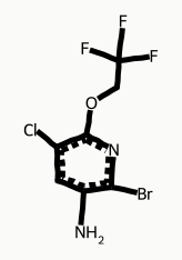 Nc1cc(Cl)c(OCC(F)(F)F)nc1Br